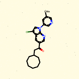 COc1cncc(-n2cc(Cl)c3cc(C(=O)CC4CCCCCCC4)cnc32)c1